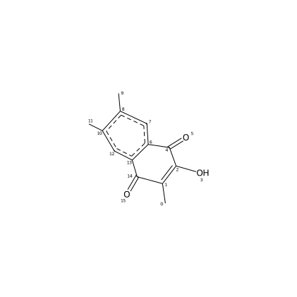 CC1=C(O)C(=O)c2cc(C)c(C)cc2C1=O